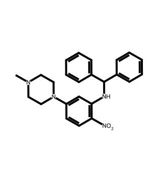 CN1CCN(c2ccc([N+](=O)[O-])c(NC(c3ccccc3)c3ccccc3)c2)CC1